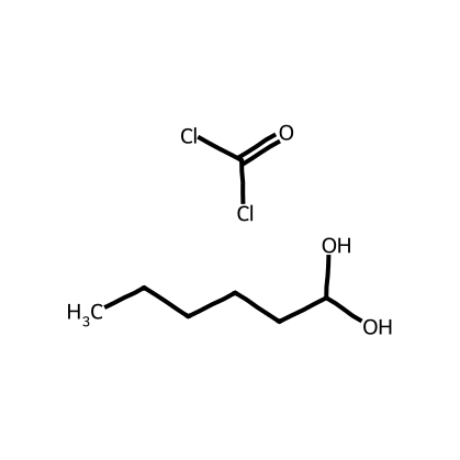 CCCCCC(O)O.O=C(Cl)Cl